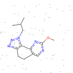 COc1ncc2c(n1)-c1c(nnn1CC(C)C)CC2